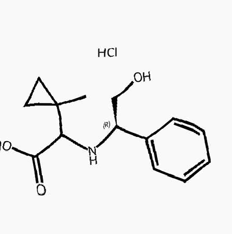 CC1(C(N[C@@H](CO)c2ccccc2)C(=O)O)CC1.Cl